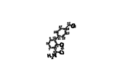 COc1c(C(N)=O)cccc1-c1ccc(C=O)cc1